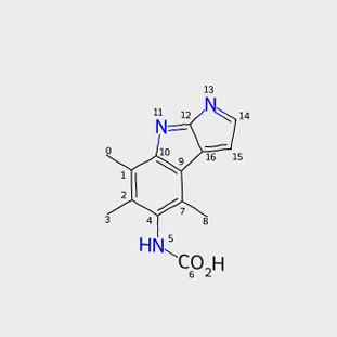 Cc1c(C)c(NC(=O)O)c(C)c2c1N=C1N=CC=C12